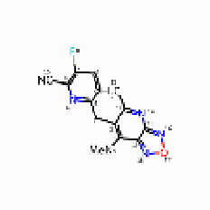 CNc1c(Cc2ccc(F)c(C#N)n2)c(C)nc2nonc12